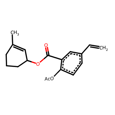 C=Cc1ccc(OC(C)=O)c(C(=O)OC2C=C(C)CCC2)c1